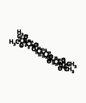 CC1=C(C)C(=O)N(c2ccc(C(=O)Oc3ccc(-c4ccc(OC(=O)c5ccc(N6C(=O)C(C)=C(C)C6=O)cc5)cc4)cc3)cc2)C1=O